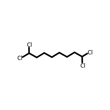 ClC(Cl)CCCCCCC(Cl)Cl